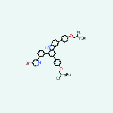 CCCCC(CC)COc1ccc(-c2ccc3[nH]c4c(-c5cccc(-c6cc(Br)ccn6)c5)cc(-c5ccc(OCC(CC)CCCC)cc5)cc4c3c2)cc1